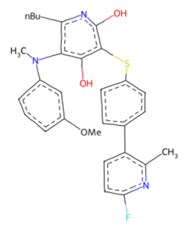 CCCCc1nc(O)c(Sc2ccc(-c3ccc(F)nc3C)cc2)c(O)c1N(C)c1cccc(OC)c1